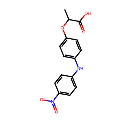 CC(Oc1ccc(Nc2ccc([N+](=O)[O-])cc2)cc1)C(=O)O